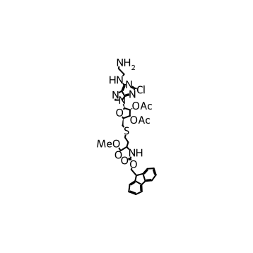 COC(=O)C(CCSC[C@H]1O[C@@H](n2cnc3c(NCCN)nc(Cl)nc32)[C@H](OC(C)=O)[C@@H]1OC(C)=O)NC(=O)OCC1c2ccccc2-c2ccccc21